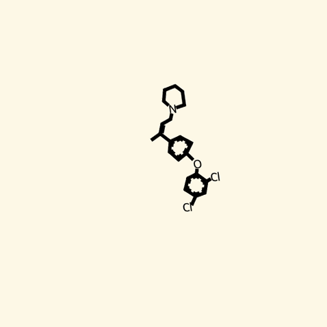 C/C(=C/CN1CCCCC1)c1ccc(Oc2ccc(Cl)cc2Cl)cc1